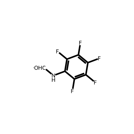 O=[C]Nc1c(F)c(F)c(F)c(F)c1F